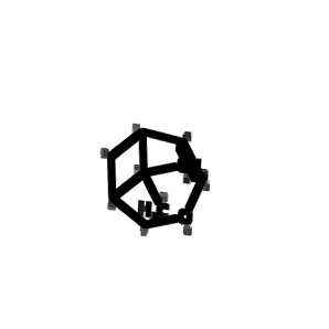 CC1(C)C2C=COCC1C2